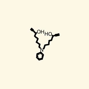 C#CC(O)CCCCCN(CCCCCC(O)C#C)c1ccccc1